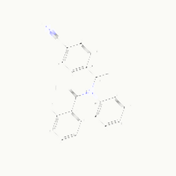 C=C(c1ccccc1C)N(c1ccccc1)C(C)c1ccc(C#N)cc1